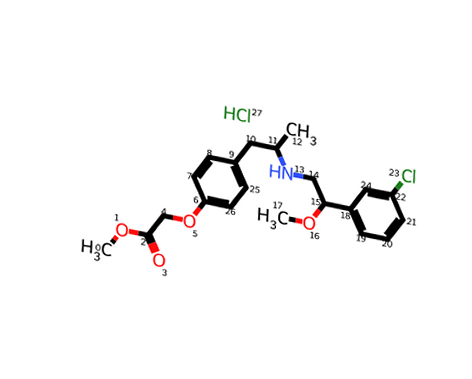 COC(=O)COc1ccc(CC(C)NCC(OC)c2cccc(Cl)c2)cc1.Cl